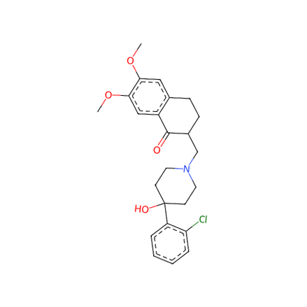 COc1cc2c(cc1OC)C(=O)C(CN1CCC(O)(c3ccccc3Cl)CC1)CC2